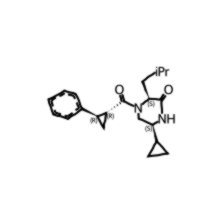 CC(C)C[C@H]1C(=O)N[C@@H](C2CC2)CN1C(=O)[C@@H]1C[C@H]1c1ccccc1